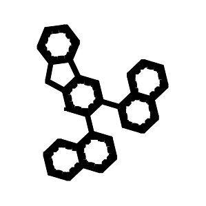 [c]1c2c(cc(-c3cccc4ccccc34)c1-c1cccc3ccccc13)-c1ccccc1C2